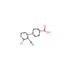 COC(=O)c1ccc(-c2ccnc(Cl)c2C#N)cc1